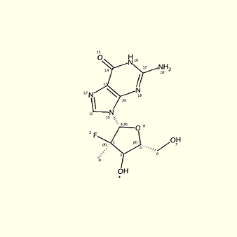 C[C@@]1(F)C(O)[C@@H](CO)O[C@H]1n1cnc2c(=O)[nH]c(N)nc21